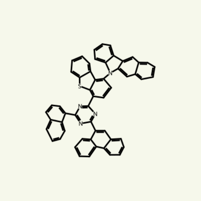 c1ccc2cc3c(cc2c1)c1ccccc1n3-c1ccc(-c2nc(-c3cccc4ccccc34)nc(-c3cc4ccccc4c4ccccc34)n2)c2sc3ccccc3c12